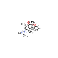 CCN(C)C=Nc1cc(C)c(C(=O)C(C)(C)Oc2ccccc2)cc1C